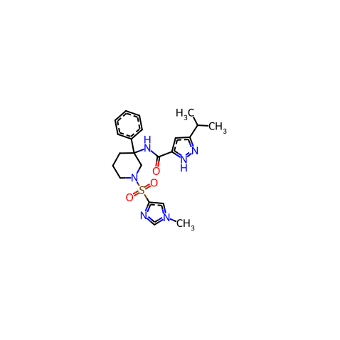 CC(C)c1cc(C(=O)NC2(c3ccccc3)CCCN(S(=O)(=O)c3cn(C)cn3)C2)[nH]n1